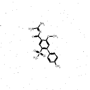 COc1cc(-c2ccc(C)cc2)c(S(C)(=O)=O)cc1C(=O)N=C(N)N